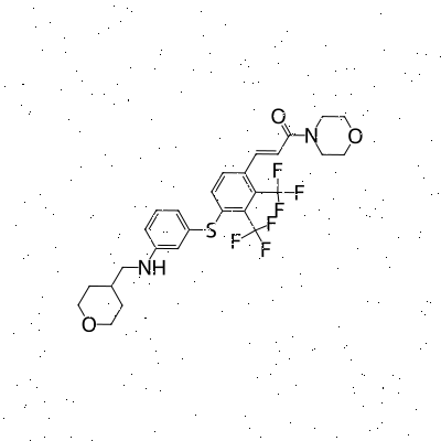 O=C(C=Cc1ccc(Sc2cccc(NCC3CCOCC3)c2)c(C(F)(F)F)c1C(F)(F)F)N1CCOCC1